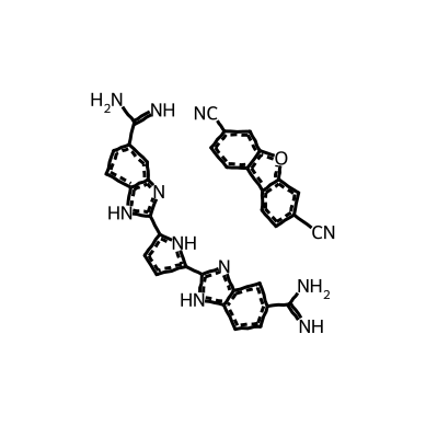 N#Cc1ccc2c(c1)oc1cc(C#N)ccc12.N=C(N)c1ccc2[nH]c(-c3ccc(-c4nc5cc(C(=N)N)ccc5[nH]4)[nH]3)nc2c1